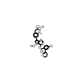 Cl.NC(Cc1ccc(-c2csc3c(O[C@H](c4ccc(Cl)cc4C4=COCCC4)C(F)(F)F)ncnc23)cc1)C(=O)O